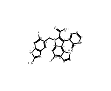 Nc1nc2cc(Cn3c(C(=O)O)c(-c4ccc[nH]c4=O)c4c5occc5c(F)cc43)c(Cl)cc2[nH]1